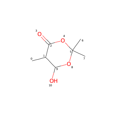 CC1C(=O)OC(C)(C)OC1O